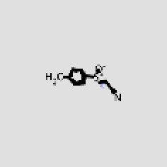 Cc1ccc([S+]([O-])/C=C/C#N)cc1